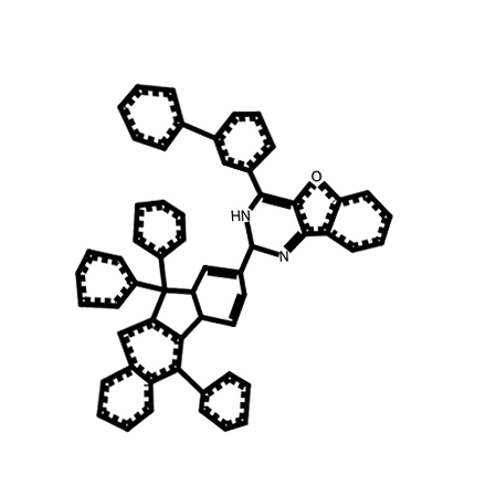 C1=CC2c3c(cc4ccccc4c3-c3ccccc3)C(c3ccccc3)(c3ccccc3)C2C=C1C1N=c2c(oc3ccccc23)=C(c2cccc(-c3ccccc3)c2)N1